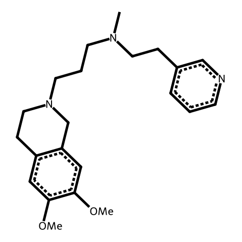 COc1cc2c(cc1OC)CN(CCCN(C)CCc1cccnc1)CC2